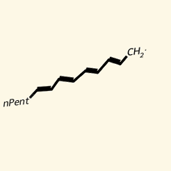 [CH2]C=CC=CC=CC=CCCCCC